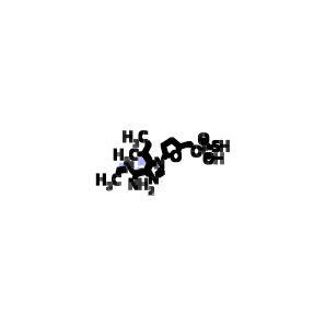 C\C=N/C(N)=c1/ncn(C2CCC(COP(=O)(O)S)O2)/c1=C(/C)CC